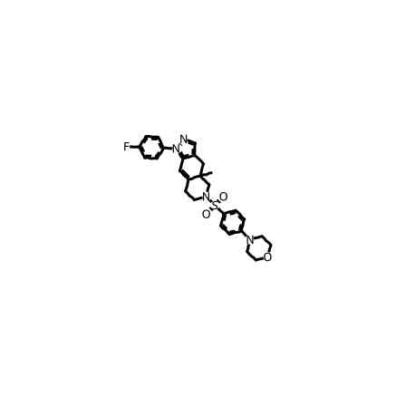 CC12Cc3cnn(-c4ccc(F)cc4)c3C=C1CCN(S(=O)(=O)c1ccc(N3CCOCC3)cc1)C2